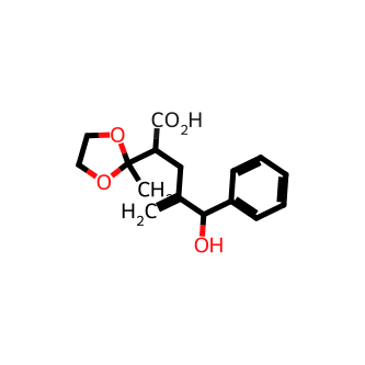 C=C(CC(C(=O)O)C1(C)OCCO1)C(O)c1ccccc1